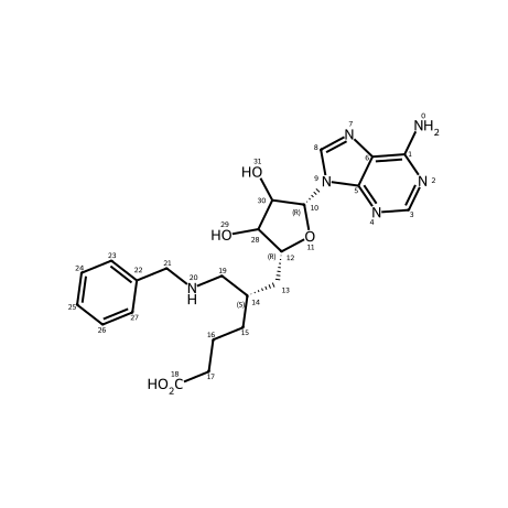 Nc1ncnc2c1ncn2[C@@H]1O[C@H](C[C@H](CCCC(=O)O)CNCc2ccccc2)C(O)C1O